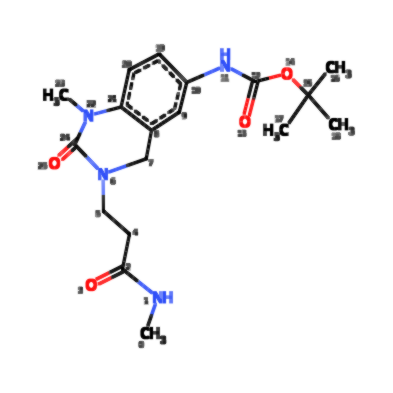 CNC(=O)CCN1Cc2cc(NC(=O)OC(C)(C)C)ccc2N(C)C1=O